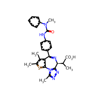 Cc1sc2c(c1C)C(c1ccc(NC(=O)N(C)c3ccccc3)cc1)=N[C@@H](C(C)C(=O)O)c1nnc(C)n1-2